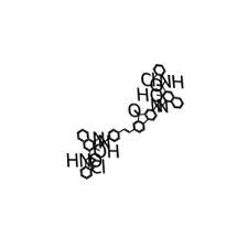 O=C1c2cc(C=Cc3ccc(N=Nc4c(O)c(C(=O)Nc5ccccc5Cl)cc5ccccc45)cc3)ccc2-c2ccc(N=Nc3c(O)c(C(=O)Nc4ccccc4Cl)cc4ccccc34)cc21